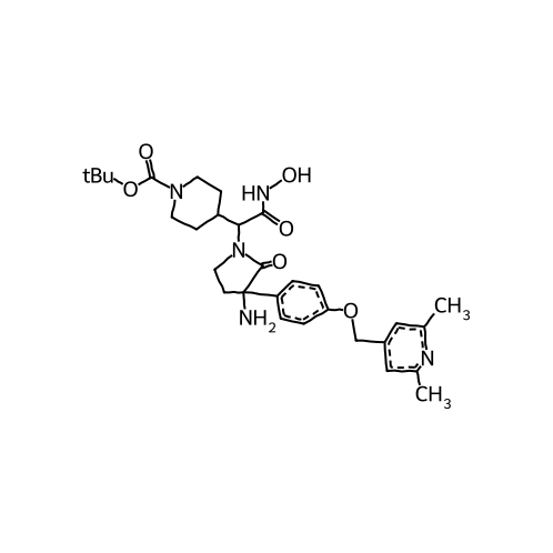 Cc1cc(COc2ccc(C3(N)CCN(C(C(=O)NO)C4CCN(C(=O)OC(C)(C)C)CC4)C3=O)cc2)cc(C)n1